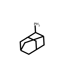 PC1[C]2CC3CC(C2)CC1C3